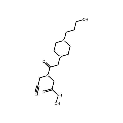 C#CCN(CC(=O)NO)C(=O)CN1CCN(CCCO)CC1